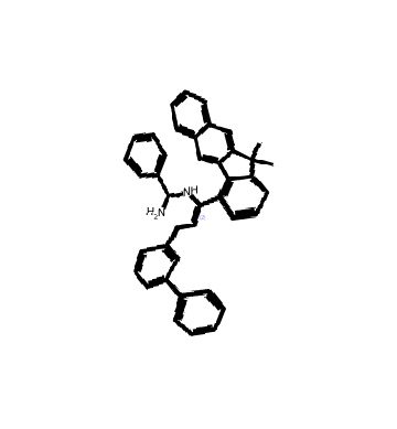 CC1(C)c2cc3ccccc3cc2-c2c(/C(=C/Cc3cccc(-c4ccccc4)c3)NC(N)c3ccccc3)cccc21